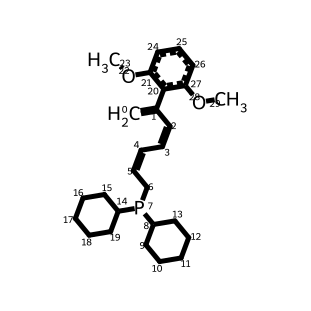 C=C(/C=C\C=C/CP(C1CCCCC1)C1CCCCC1)c1c(OC)cccc1OC